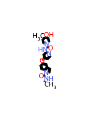 CCNC(=O)n1ccc2cc(Oc3ccnc(NC(=O)N4CCC(C)(O)CC4)c3)ccc21